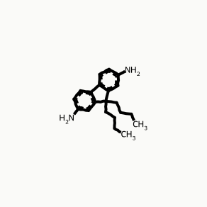 CCCCC1(CCCC)c2cc(N)ccc2-c2ccc(N)cc21